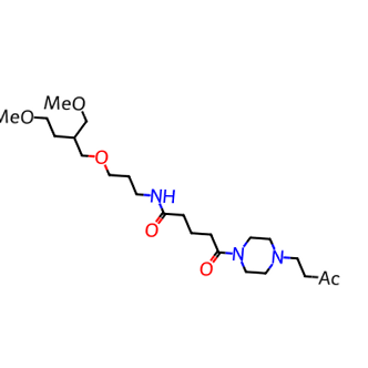 COCCC(COC)COCCCNC(=O)CCCC(=O)N1CCN(CCC(C)=O)CC1